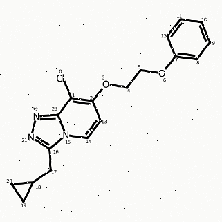 Clc1c(OCCOc2ccccc2)ccn2c(CC3CC3)nnc12